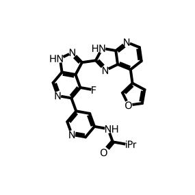 CC(C)C(=O)Nc1cncc(-c2ncc3[nH]nc(-c4nc5c(-c6ccoc6)ccnc5[nH]4)c3c2F)c1